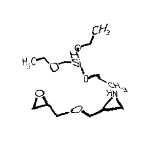 C1NC1COCC1CO1.CCO[SiH](OCC)OCC